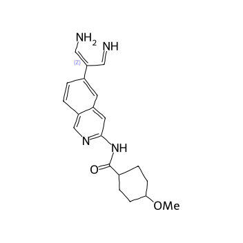 COC1CCC(C(=O)Nc2cc3cc(/C(C=N)=C/N)ccc3cn2)CC1